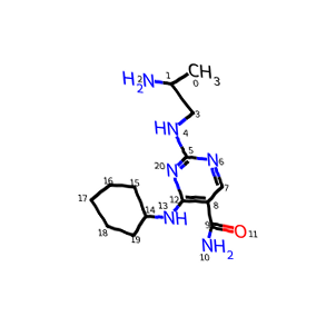 CC(N)CNc1ncc(C(N)=O)c(NC2CCCCC2)n1